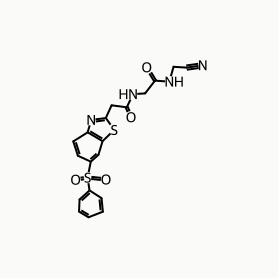 N#CCNC(=O)CNC(=O)Cc1nc2ccc(S(=O)(=O)c3ccccc3)cc2s1